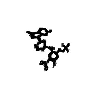 Cn1cc(-c2ncnc(Nc3cc([N+](=O)[O-])c(F)cc3OCC(F)(F)F)n2)c2cc(F)ccc21